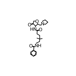 CC(C)(CCNC(=O)c1ccccc1)CCC(=O)NC1C(=O)COC1CN1CCCC1